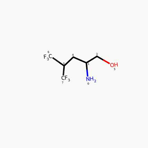 NC(CO)CC(C(F)(F)F)C(F)(F)F